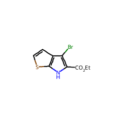 CCOC(=O)c1[nH]c2sccc2c1Br